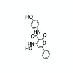 O=C(Nc1ccc(O)cc1)c1c(NO)cc(-c2ccccc2)oc1=O